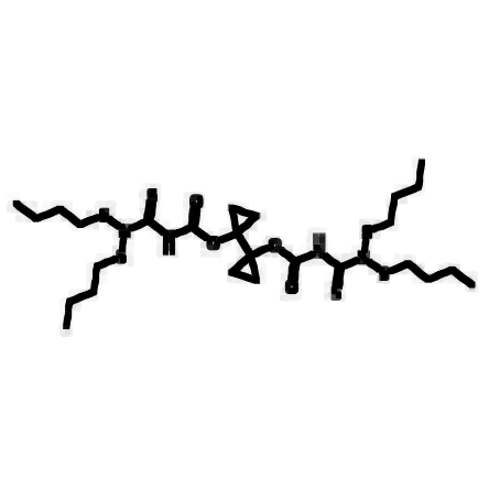 CCCCSN(SCCCC)C(=S)NC(=O)OC1(C2(OC(=O)NC(=S)N(SCCCC)SCCCC)CC2)CC1